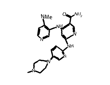 CNc1ccncc1Nc1cc(Nc2ccc(N3CCN(C)CC3)cn2)ncc1C(N)=O